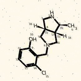 C[C@@H]1NC[C@H]2CN(Cc3c(O)cccc3Cl)C[C@H]21